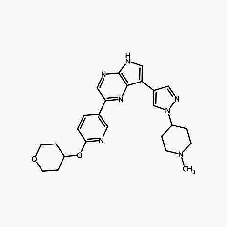 CN1CCC(n2cc(-c3c[nH]c4ncc(-c5ccc(OC6CCOCC6)nc5)nc34)cn2)CC1